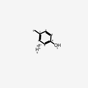 Cc1ccc(O)cc1.[F-].[H+]